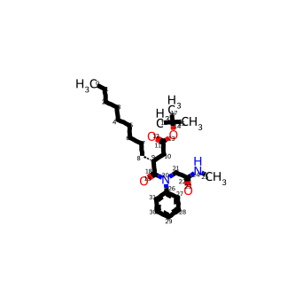 CCCCCCCCC[C@H](CC(=O)OC(C)(C)C)C(=O)N(CC(=O)NC)c1ccccc1